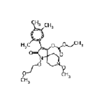 CCOC(=O)OC1=C(c2cc(C)c(C)cc2C)C(=O)N(OCCOC)C12CCN(OC)CC2